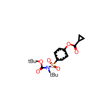 CC(C)(C)OC(=O)N(C(C)(C)C)S(=O)(=O)c1ccc(OC(=O)C2CC2)cc1